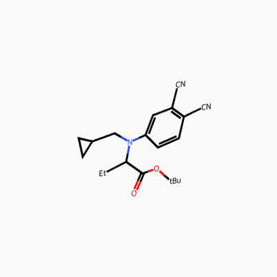 CCC(C(=O)OC(C)(C)C)N(CC1CC1)c1ccc(C#N)c(C#N)c1